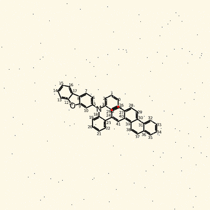 c1ccc(N(c2ccc3c(c2)oc2ccccc23)c2ccccc2-c2ccc3ccc4c5ccccc5ccc4c3c2)cc1